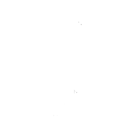 O=C=NSCc1cccnc1